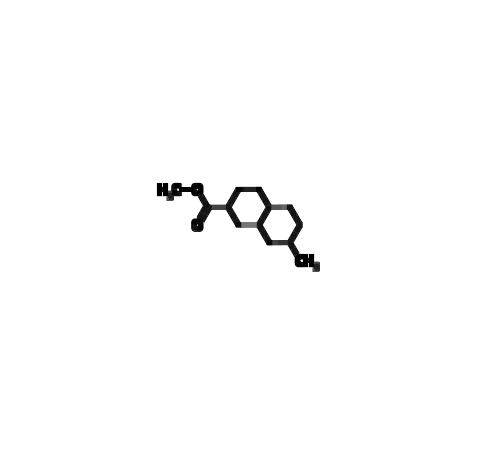 COC(=O)C1CCC2CCC(C)CC2C1